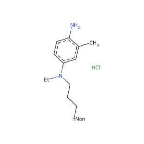 CCCCCCCCCCCCN(CC)c1ccc(N)c(C)c1.Cl